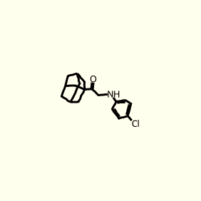 O=C(CNc1ccc(Cl)cc1)C12CC3CC(CC(C3)C1)C2